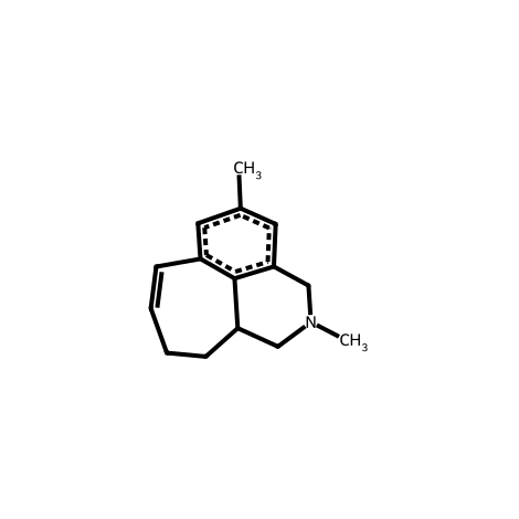 Cc1cc2c3c(c1)CN(C)CC3CCC=C2